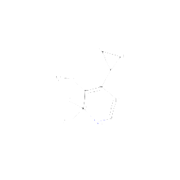 COC1=C(C2CC2)C=CNC1(C)C(C)=O